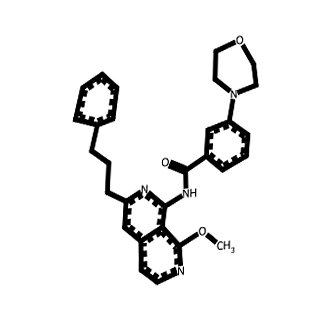 COc1nccc2cc(CCCc3ccccc3)nc(NC(=O)c3cccc(N4CCOCC4)c3)c12